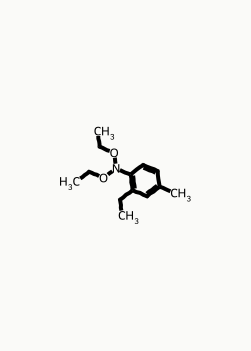 CCON(OCC)c1ccc(C)cc1CC